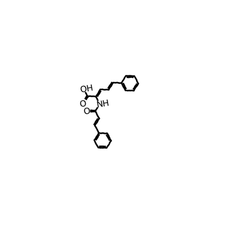 O=C(C=Cc1ccccc1)N/C(=C\C=C\c1ccccc1)C(=O)O